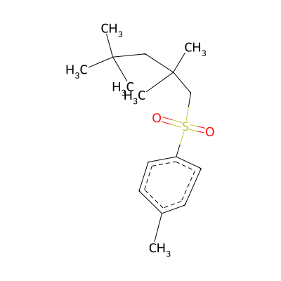 Cc1ccc(S(=O)(=O)CC(C)(C)CC(C)(C)C)cc1